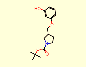 CC(C)(C)OC(=O)N1CC[C@H](COc2cccc(O)c2)C1